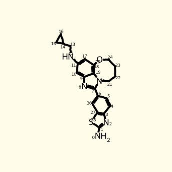 Nc1nc2ccc(-c3nc4cc(NCC5CC5)cc5c4n3CCCCO5)cc2s1